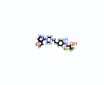 O=C(NC1CCC(CCN2CCN(c3nccc4c3CCO4)CC2)CC1)[C@H](O)C(F)(F)F